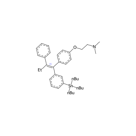 CCC[CH2][Sn]([CH2]CCC)([CH2]CCC)[c]1cccc(/C(=C(\CC)c2ccccc2)c2ccc(OCCN(C)C)cc2)c1